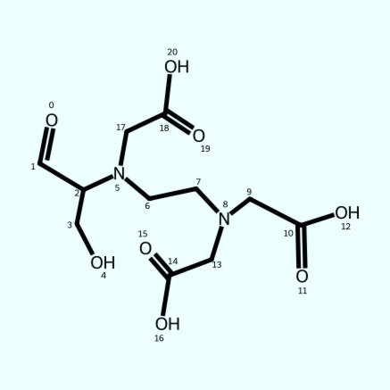 O=CC(CO)N(CCN(CC(=O)O)CC(=O)O)CC(=O)O